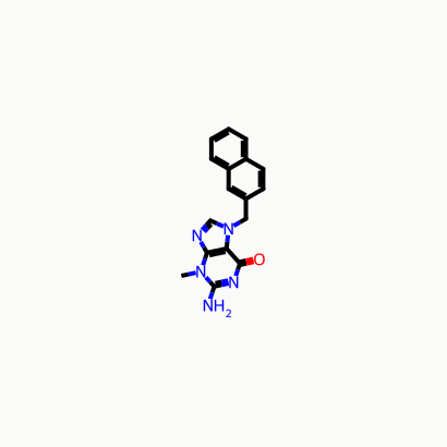 Cn1c(N)nc(=O)c2c1ncn2Cc1ccc2ccccc2c1